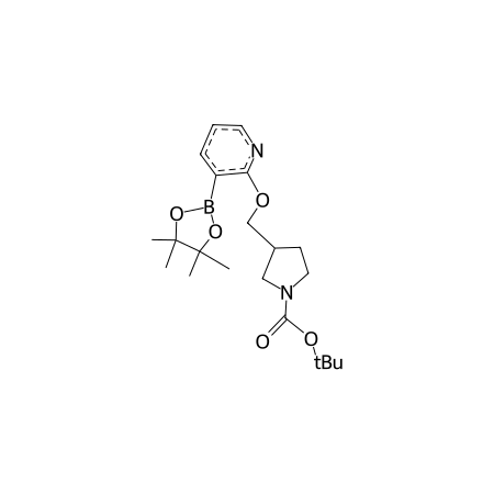 CC(C)(C)OC(=O)N1CCC(COc2ncccc2B2OC(C)(C)C(C)(C)O2)C1